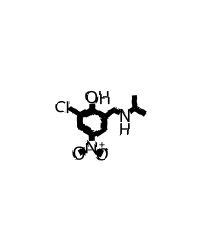 CC(C)NCc1cc([N+](=O)[O-])cc(Cl)c1O